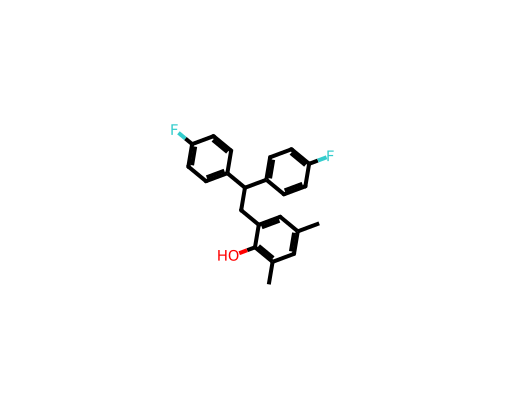 Cc1cc(C)c(O)c(CC(c2ccc(F)cc2)c2ccc(F)cc2)c1